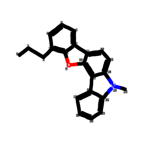 CCCc1cccc2c1oc1c2ccc2c1c1ccccc1n2C